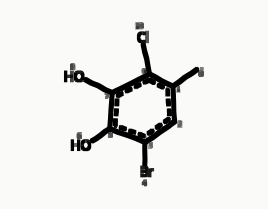 [CH2]c1cc(Br)c(O)c(O)c1Cl